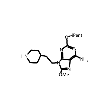 CCC[C@H](C)Oc1nc(N)c2nc(OC)n(CCC3CCNCC3)c2n1